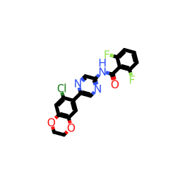 O=C(Nc1cnc(-c2cc3c(cc2Cl)OCCO3)cn1)c1c(F)cccc1F